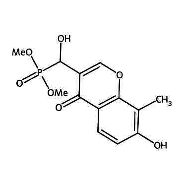 COP(=O)(OC)C(O)c1coc2c(C)c(O)ccc2c1=O